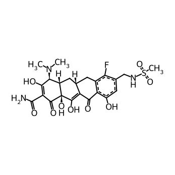 CN(C)[C@@H]1C(O)=C(C(N)=O)C(=O)[C@@]2(O)C(O)=C3C(=O)c4c(O)cc(CNS(C)(=O)=O)c(F)c4C[C@H]3C[C@@H]12